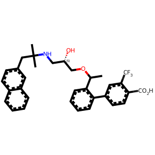 CC(OC[C@@H](O)CNC(C)(C)Cc1ccc2ccccc2c1)c1ccccc1-c1ccc(C(=O)O)c(C(F)(F)F)c1